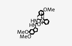 COc1ccc(C[C@@H](NC(=O)NC2CCc3cc(OC)c(OC)cc32)c2nc3ccccc3[nH]2)cc1